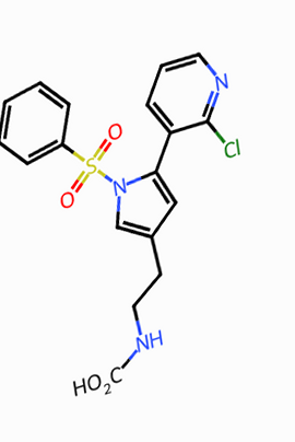 O=C(O)NCCc1cc(-c2cccnc2Cl)n(S(=O)(=O)c2ccccc2)c1